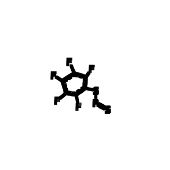 Fc1c(F)c(F)c(SP=S)c(F)c1F